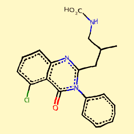 CC(CNC(=O)O)Cc1nc2cccc(Cl)c2c(=O)n1-c1ccccc1